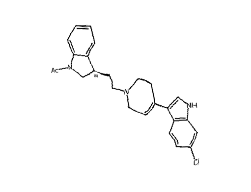 CC(=O)N1C[C@H](CCN2CC=C(c3c[nH]c4cc(Cl)ccc34)CC2)c2ccccc21